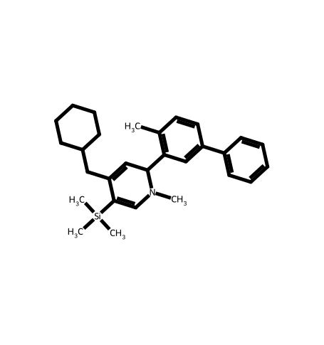 Cc1ccc(-c2ccccc2)cc1C1C=C(CC2CCCCC2)C([Si](C)(C)C)=CN1C